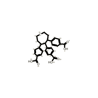 O=C(O)c1ccc(C2CCCCCC(c3ccc(C(=O)O)cc3)C2c2ccc(C(=O)O)cc2)cc1